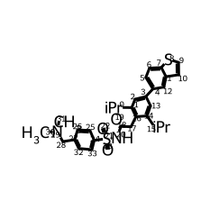 CC(C)c1cc(-c2ccc3sccc3c2)cc(C(C)C)c1CC(=O)NS(=O)(=O)c1ccc(CN(C)C)cc1